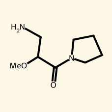 COC(CN)C(=O)N1CCCC1